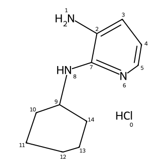 Cl.Nc1cccnc1NC1CCCCC1